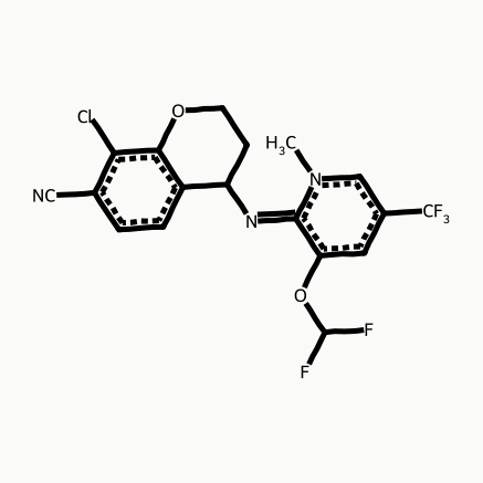 Cn1cc(C(F)(F)F)cc(OC(F)F)/c1=N/C1CCOc2c1ccc(C#N)c2Cl